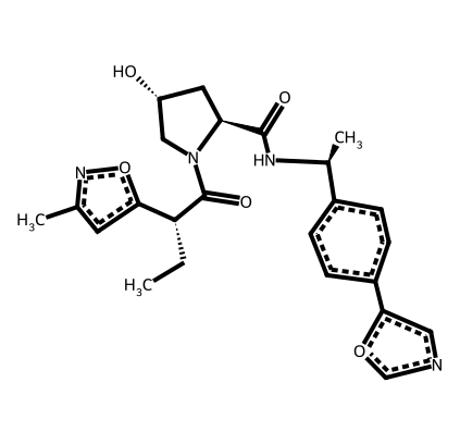 CC[C@@H](C(=O)N1C[C@H](O)C[C@H]1C(=O)N[C@@H](C)c1ccc(-c2cnco2)cc1)c1cc(C)no1